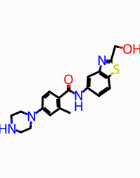 Cc1cc(N2CCNCC2)ccc1C(=O)Nc1ccc2sc(CO)nc2c1